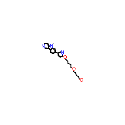 Cn1c2ccncc2c2ccc(-c3ccc(OCCCCCOCCCCC=O)nc3)cc21